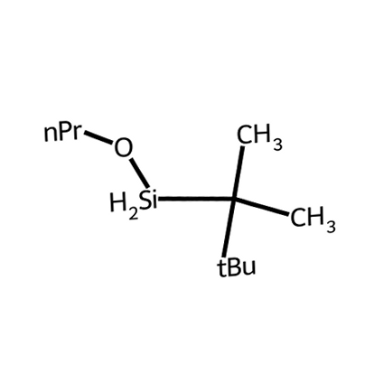 [CH2]CCO[SiH2]C(C)(C)C(C)(C)C